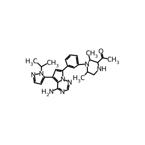 CC(=O)C1NCC(C)N(c2cccc(-c3cc(-c4ccnn4C(C)C)c4c(N)ncnn34)c2)C1C